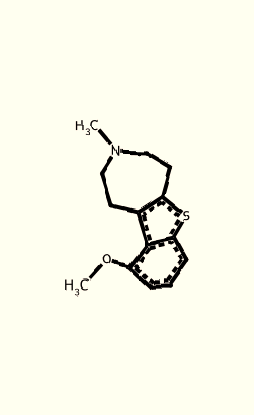 COc1cccc2sc3c(c12)CCN(C)CC3